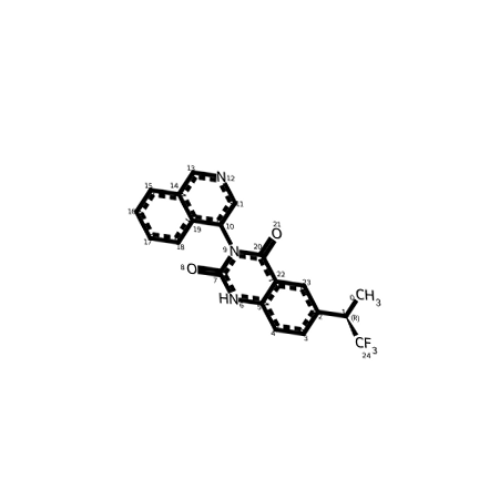 C[C@H](c1ccc2[nH]c(=O)n(-c3cncc4ccccc34)c(=O)c2c1)C(F)(F)F